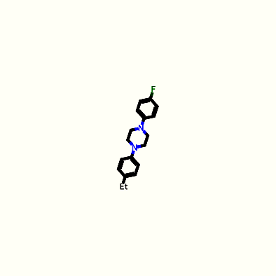 CCc1ccc(N2CCN(c3ccc(F)cc3)CC2)cc1